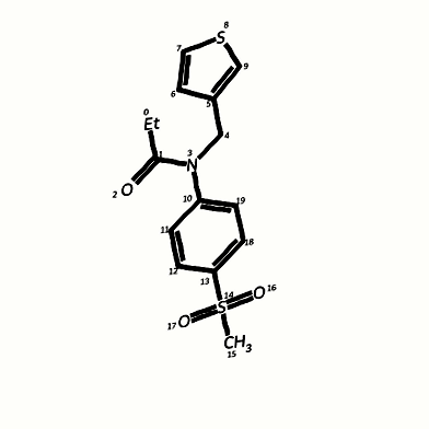 CCC(=O)N(Cc1ccsc1)c1ccc(S(C)(=O)=O)cc1